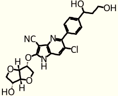 N#Cc1c(O[C@@H]2CO[C@H]3[C@@H]2OC[C@H]3O)[nH]c2cc(Cl)c(-c3ccc(C(O)CCO)cc3)nc12